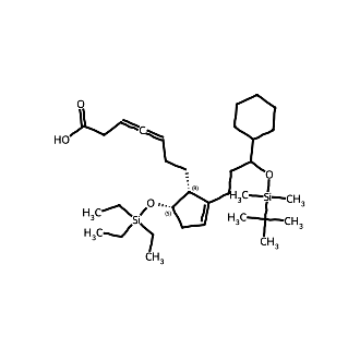 CC[Si](CC)(CC)O[C@H]1CC=C(CCC(O[Si](C)(C)C(C)(C)C)C2CCCCC2)[C@H]1CCC=C=CCC(=O)O